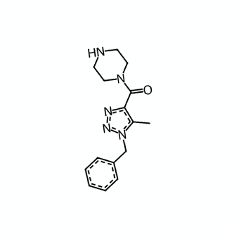 Cc1c(C(=O)N2CCNCC2)nnn1Cc1ccccc1